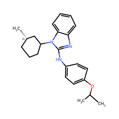 CC(C)Oc1ccc(Nc2nc3ccccc3n2C2CCC[C@H](C)C2)cc1